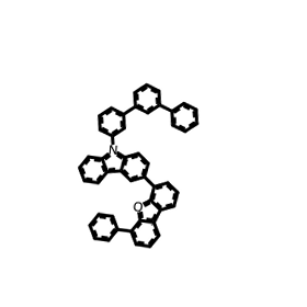 c1ccc(-c2cccc(-c3cccc(-n4c5ccccc5c5cc(-c6cccc7c6oc6c(-c8ccccc8)cccc67)ccc54)c3)c2)cc1